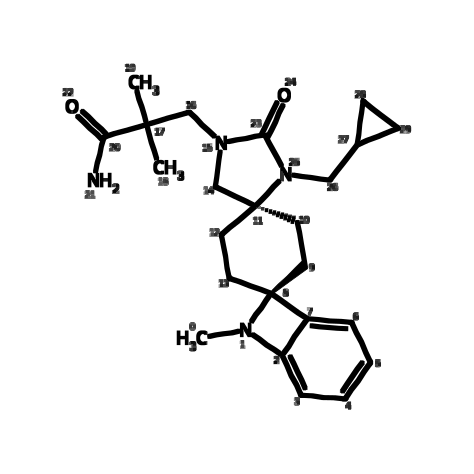 CN1c2ccccc2[C@]12CC[C@]1(CC2)CN(CC(C)(C)C(N)=O)C(=O)N1CC1CC1